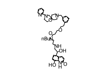 CCCCN(CCNCC(O)c1ccc(O)c2[nH]c(=O)ccc12)C(=O)CCOCCc1cccc(CN2CCC3(CC2)CN(c2ccccn2)CCO3)c1